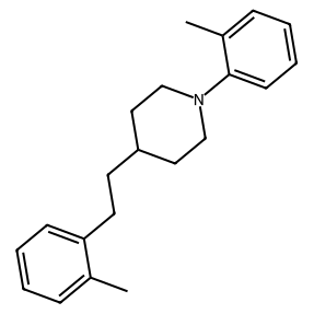 Cc1ccccc1CCC1CCN(c2ccccc2C)CC1